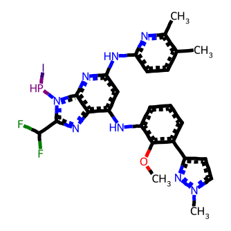 COc1c(Nc2cc(Nc3ccc(C)c(C)n3)nc3c2nc(C(F)F)n3PI)cccc1-c1ccn(C)n1